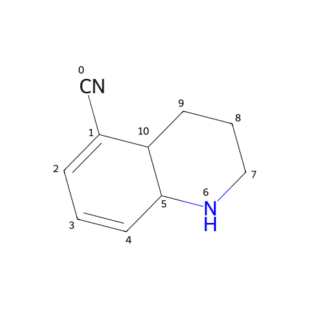 N#CC1=CC=CC2NCCCC12